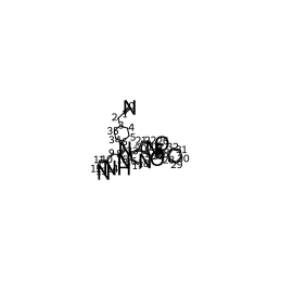 N#CC[C@H]1CC[C@H](n2c(Cc3ccn[nH]3)nc3cnc4c(ccn4S(=O)(=O)c4ccccc4)c32)CC1